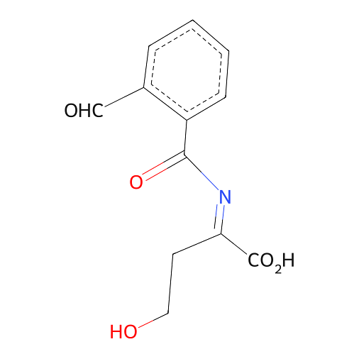 O=Cc1ccccc1C(=O)N=C(CCO)C(=O)O